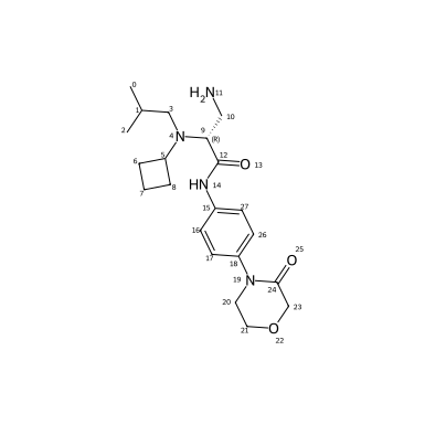 CC(C)CN(C1CCC1)[C@H](CN)C(=O)Nc1ccc(N2CCOCC2=O)cc1